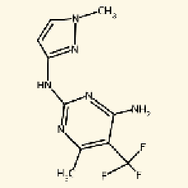 Cc1nc(Nc2ccn(C)n2)nc(N)c1C(F)(F)F